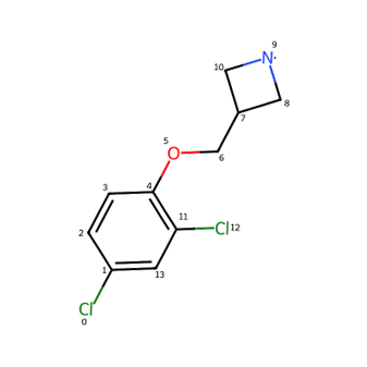 Clc1ccc(OCC2C[N]C2)c(Cl)c1